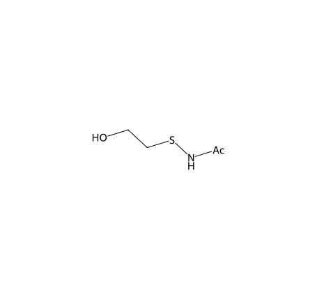 CC(=O)NSCCO